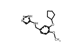 COc1ccc(CNc2cnn[nH]2)cc1OC1CCCC1